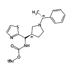 C[C@H](c1ccccc1)N1CC[C@@H](C(NC(=O)OC(C)(C)C)c2nccs2)C1